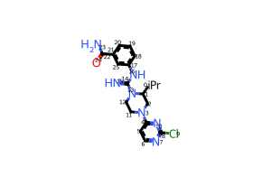 CC(C)C1CN(c2ccnc(Cl)n2)CCN1C(=N)Nc1cccc(C(N)=O)c1